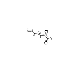 C=CCSC=C(Cl)C(C)=O